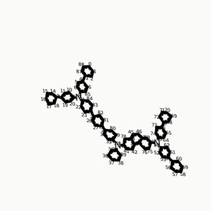 c1ccc(-c2ccc(N(c3ccc(-c4ccccc4)cc3)c3ccc(-c4ccc(-c5ccc(N(c6ccccc6)c6ccc7c(ccc8cc(N(c9ccc(-c%10ccccc%10)cc9)c9ccc(-c%10ccccc%10)cc9)ccc87)c6)cc5)cc4)cc3)cc2)cc1